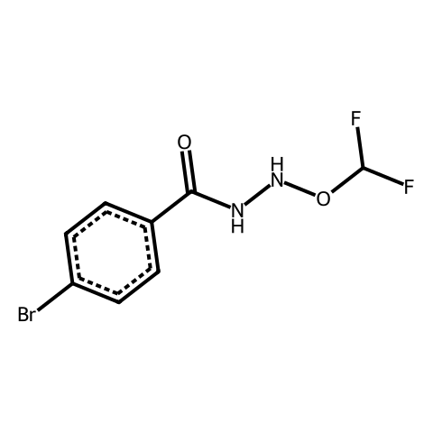 O=C(NNOC(F)F)c1ccc(Br)cc1